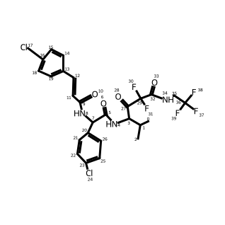 CC(C)C(NC(=O)C(NC(=O)/C=C/c1ccc(Cl)cc1)c1ccc(Cl)cc1)C(=O)C(F)(F)C(=O)NCC(F)(F)F